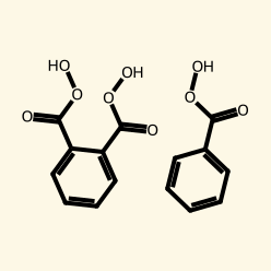 O=C(OO)c1ccccc1.O=C(OO)c1ccccc1C(=O)OO